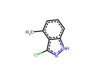 [CH2]c1cccc2[nH]nc(Cl)c12